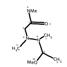 CNC(=O)CN(C)N(C)C(C)OC